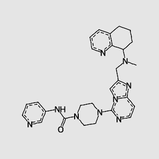 CN(Cc1cn2c(N3CCN(C(=O)Nc4cccnc4)CC3)nccc2n1)C1CCCc2cccnc21